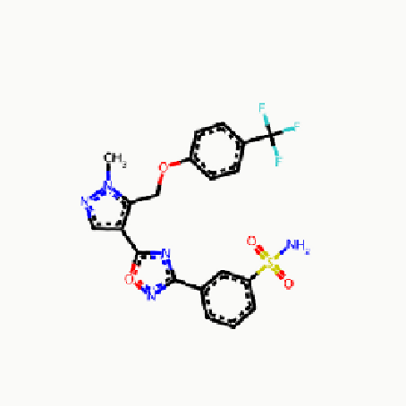 Cn1ncc(-c2nc(-c3cccc(S(N)(=O)=O)c3)no2)c1COc1ccc(C(F)(F)F)cc1